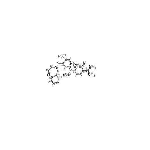 Cc1ccc(C(c2ccc(N(C)N)c(N)c2C)C(C)(C)C)cc1CN1CCOc2ccncc2C1